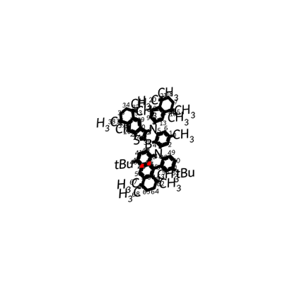 Cc1cc2c3c(c1)N(c1ccc4c(c1)C(C)(C)CCC4(C)C)c1c(sc4cc5c(cc14)C(C)(C)CCC5(C)C)B3c1cc(C(C)(C)C)ccc1N2c1ccc(C(C)(C)C)cc1-c1cccc2c1C(C)(C)CCC2(C)C